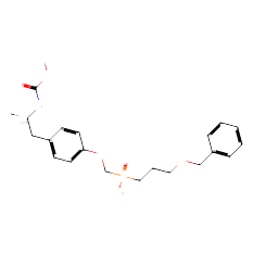 C[C@H](Cc1ccc(OCP(=O)(O)CCCOCc2ccccc2)cc1)NC(=O)OC(C)(C)C